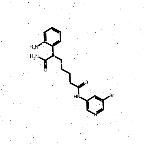 NC(=O)C(CCCCC(=O)Nc1cncc(Br)c1)c1ccccc1N